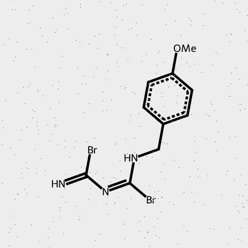 COc1ccc(CN/C(Br)=N\C(=N)Br)cc1